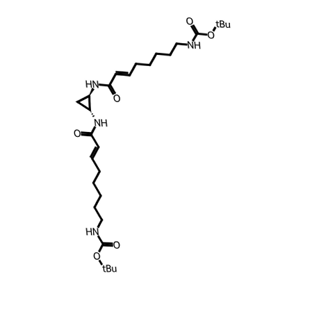 CC(C)(C)OC(=O)NCCCCC/C=C/C(=O)N[C@@H]1C[C@H]1NC(=O)/C=C/CCCCCNC(=O)OC(C)(C)C